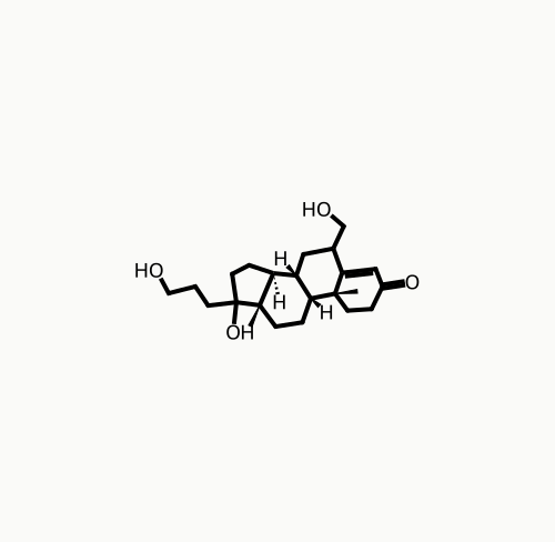 C[C@]12CCC(=O)C=C1C(CO)C[C@@H]1[C@H]2CC[C@@]2(C)[C@H]1CCC2(O)CCCO